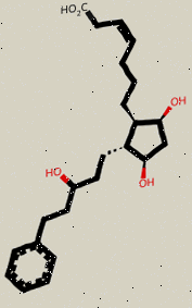 O=C(O)C/C=C\CCC[C@@H]1[C@@H](CCC(O)CCc2ccccc2)[C@H](O)C[C@@H]1O